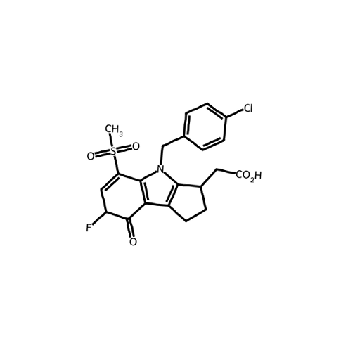 CS(=O)(=O)C1=CC(F)C(=O)c2c3c(n(Cc4ccc(Cl)cc4)c21)C(CC(=O)O)CC3